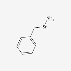 [NH2][Sn][CH2]c1ccccc1